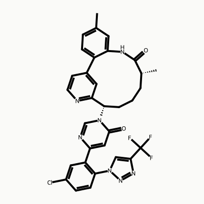 Cc1ccc2c(c1)NC(=O)[C@H](C)CCC[C@H](n1cnc(-c3cc(Cl)ccc3-n3cc(C(F)(F)F)nn3)cc1=O)c1cc-2ccn1